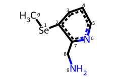 C[Se]c1cccnc1CN